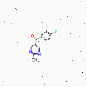 Cc1ncc(C(=O)c2ccc(F)c(F)c2)cn1